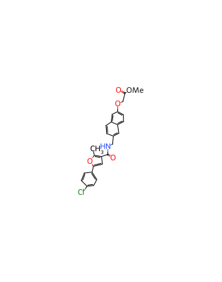 COC(=O)COc1ccc2cc(CNC(=O)c3cc(-c4ccc(Cl)cc4)oc3C)ccc2c1